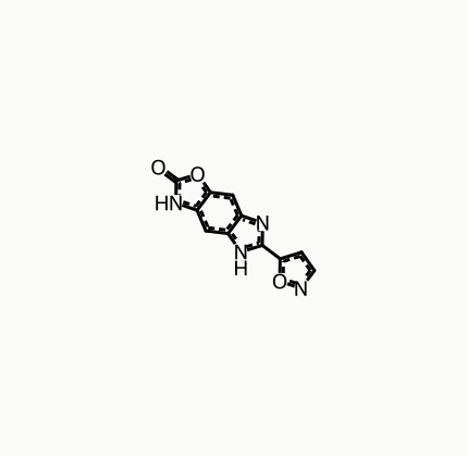 O=c1[nH]c2cc3[nH]c(-c4ccno4)nc3cc2o1